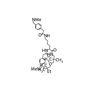 CCC(C)(C)COCC(C)(C)CNC(=O)C(CCCCNC(=O)Cc1ccc(CNC)cc1)NC(=O)Cc1ccc(CNC)cc1